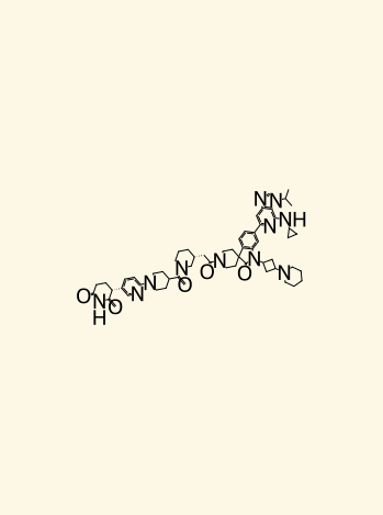 CC(C)n1cnc2cc(-c3ccc4c(c3)N(C3CC(N5CCCCC5)C3)C(=O)C43CCN(C(=O)C[C@H]4CCCN(C(=O)C5CCN(c6ccc([C@H]7CCC(=O)NC7=O)cn6)CC5)C4)CC3)nc(NC3CC3)c21